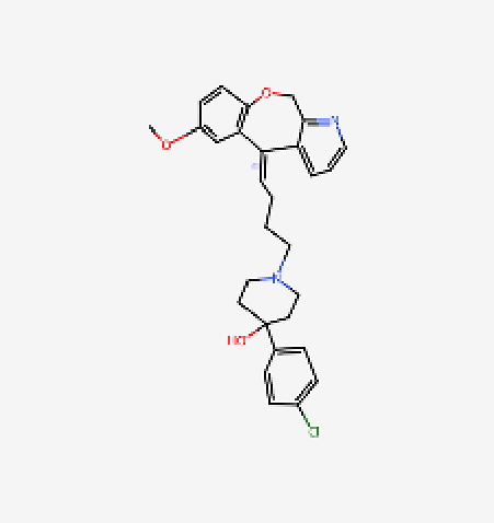 COc1ccc2c(c1)/C(=C/CCCN1CCC(O)(c3ccc(Cl)cc3)CC1)c1cccnc1CO2